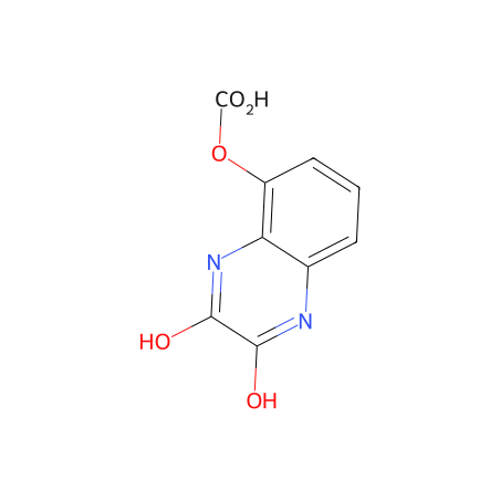 O=C(O)Oc1cccc2nc(O)c(O)nc12